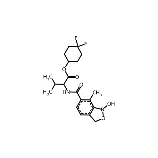 Cc1c(C(=O)NC(C(=O)OC2CCC(F)(F)CC2)C(C)C)ccc2c1B(O)OC2